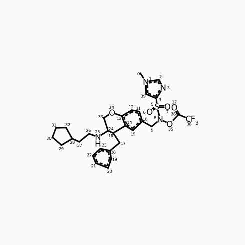 Cn1cnc(S(=O)(=O)N(Cc2ccc3c(c2)C(Cc2ccccc2)C(NCCC2CCCC2)CO3)OC(=O)C(F)(F)F)c1